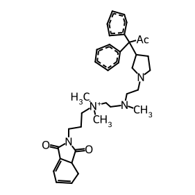 CC(=O)C(c1ccccc1)(c1ccccc1)C1CCN(CCN(C)CC[N+](C)(C)CCCN2C(=O)C3=CC=CCC3C2=O)C1